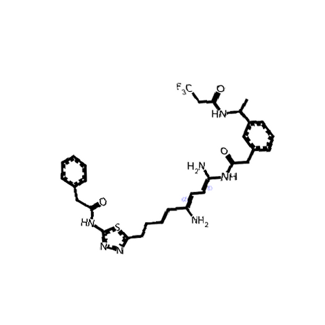 CC(NC(=O)CC(F)(F)F)c1cccc(CC(=O)N/C(N)=C/C=C(\N)CCCCc2nnc(NC(=O)Cc3ccccc3)s2)c1